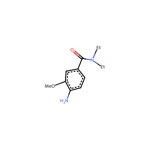 CCN(CC)C(=O)c1ccc(N)c(OC)c1